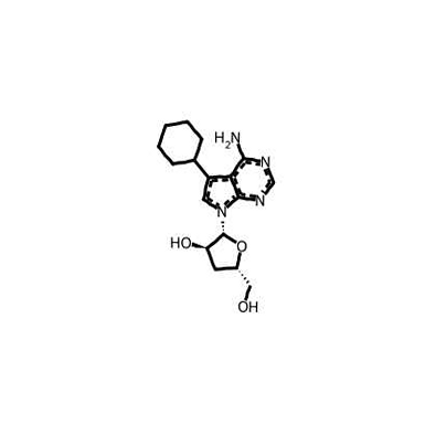 Nc1ncnc2c1c(C1CCCCC1)cn2[C@@H]1O[C@H](CO)C[C@H]1O